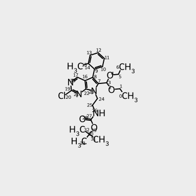 CCOC(OCC)c1c(-c2ccccc2C)c2cnc(Cl)nc2n1CCNC(=O)OC(C)(C)C